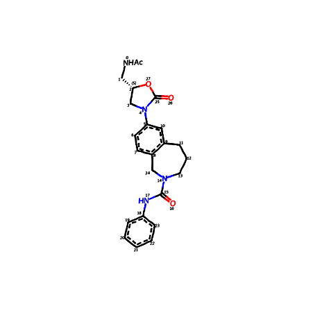 CC(=O)NC[C@H]1CN(c2ccc3c(c2)CCCN(C(=O)Nc2ccccc2)C3)C(=O)O1